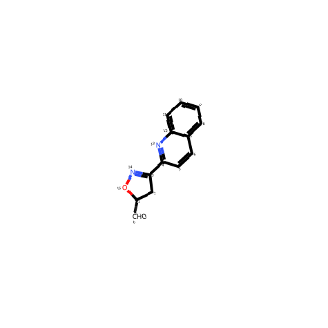 O=CC1CC(c2ccc3ccccc3n2)=NO1